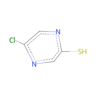 Sc1cnc(Cl)cn1